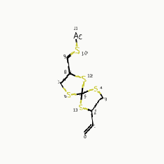 C=CC1CSC2(SCC(CSC(C)=O)S2)S1